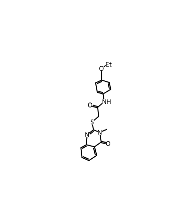 CCOc1ccc(NC(=O)CSc2nc3ccccc3c(=O)n2C)cc1